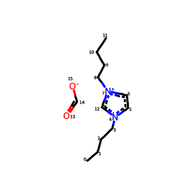 CCCCn1cc[n+](CCCC)c1.O=C[O-]